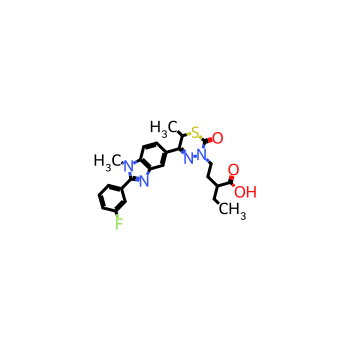 CCC(CCN1N=C(c2ccc3c(c2)nc(-c2cccc(F)c2)n3C)C(C)SC1=O)C(=O)O